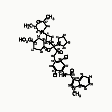 CC1CN(C2CN(C(OC3CCC(C(=O)O)CC3)(C(=O)Cc3cc(Cl)c(NC(=O)c4cn(C)c5ccccc45)cc3Cl)N3CCCC3)C2)CC(C)O1